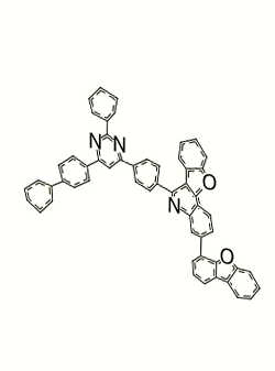 c1ccc(-c2ccc(-c3cc(-c4ccc(-c5nc6cc(-c7cccc8c7oc7ccccc78)ccc6c6oc7ccccc7c56)cc4)nc(-c4ccccc4)n3)cc2)cc1